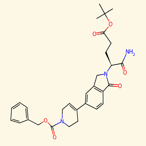 CC(C)(C)OC(=O)CC[C@@H](C(N)=O)N1Cc2cc(C3=CCN(C(=O)OCc4ccccc4)CC3)ccc2C1=O